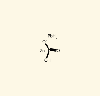 O=[N+]([O-])O.[PbH2].[Zn]